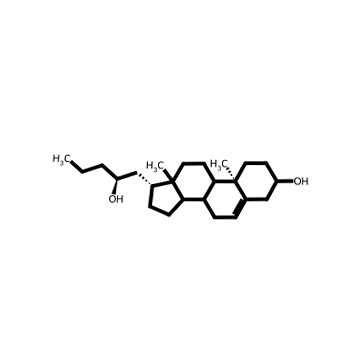 CCC[C@H](O)C[C@H]1CCC2C3CC=C4CC(O)CC[C@]4(C)C3CCC21C